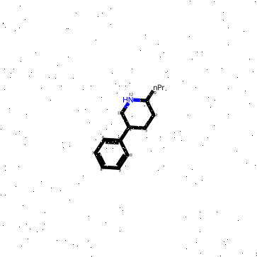 CCCC1CCC(c2ccccc2)CN1